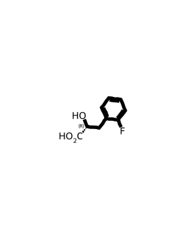 O=C(O)[C@H](O)Cc1ccccc1F